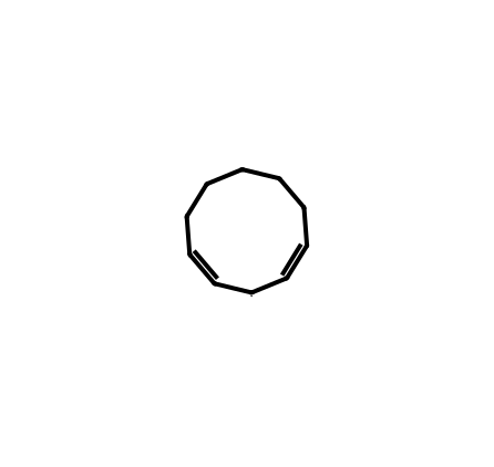 [CH]1/C=C\CCCCC/C=C\1